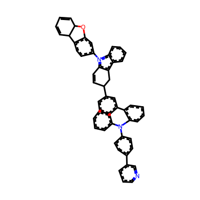 C1=CC2Oc3cc(-n4c5c(c6ccccc64)CC(c4cccc(-c6ccccc6N(c6ccccc6)c6ccc(-c7cccnc7)cc6)c4)C=C5)ccc3C2C=C1